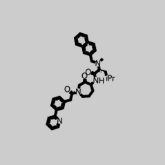 CC(C)C[C@@H](C(=O)NC1CCCN(C(=O)Cc2cccc(-c3ccccn3)c2)CC1=O)N(C)Cc1ccc2ccccc2c1